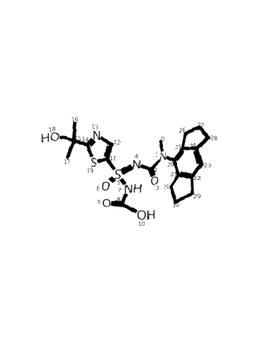 CN(C(=O)N=S(=O)(NC(=O)O)c1cnc(C(C)(C)O)s1)c1c2c(cc3c1CCC3)CCC2